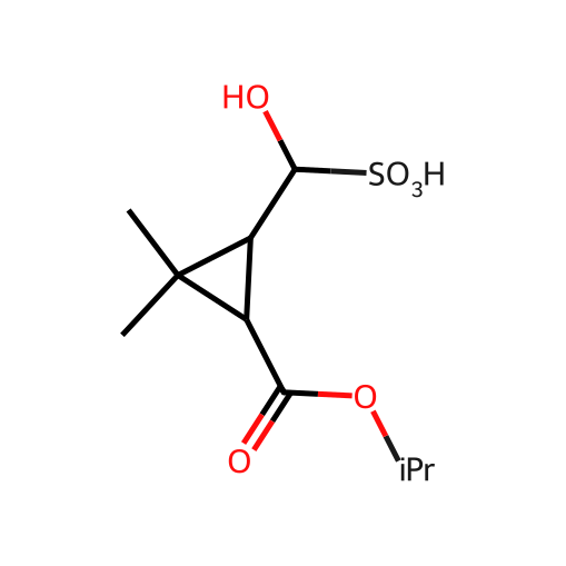 CC(C)OC(=O)C1C(C(O)S(=O)(=O)O)C1(C)C